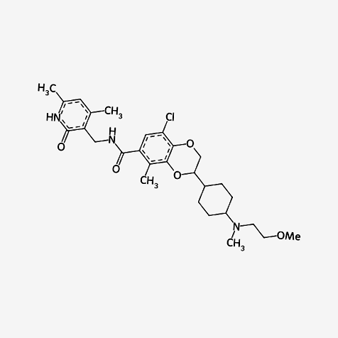 COCCN(C)C1CCC(C2COc3c(Cl)cc(C(=O)NCc4c(C)cc(C)[nH]c4=O)c(C)c3O2)CC1